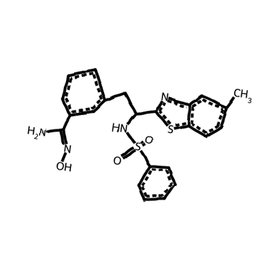 Cc1ccc2sc(C(Cc3cccc(C(N)=NO)c3)NS(=O)(=O)c3ccccc3)nc2c1